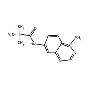 CC(C)(C)C(=O)Nc1ccc2c(N)ncnc2c1